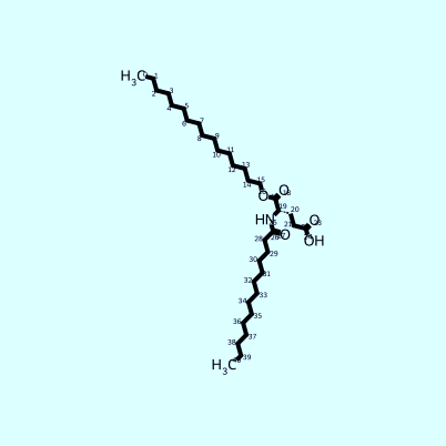 CCCCCCCCCCCCCCCCOC(=O)[C@H](CCC(=O)O)NC(=O)CCCCCCCCCCCCC